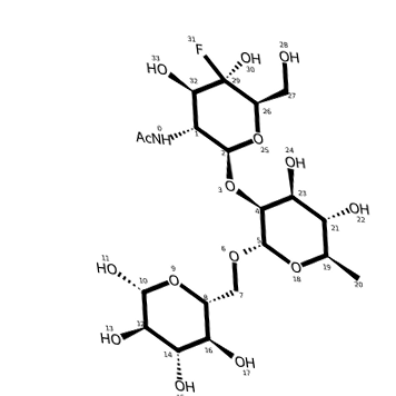 CC(=O)N[C@H]1[C@H](O[C@@H]2[C@@H](OC[C@H]3O[C@@H](O)[C@H](O)[C@@H](O)[C@@H]3O)O[C@H](C)[C@@H](O)[C@@H]2O)O[C@H](CO)[C@](O)(F)[C@@H]1O